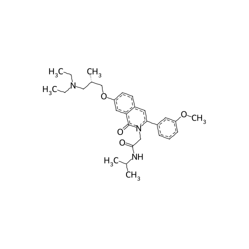 CCN(CC)C[C@H](C)COc1ccc2cc(-c3cccc(OC)c3)n(CC(=O)NC(C)C)c(=O)c2c1